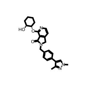 Cc1nn(C)cc1-c1ccc(CN2Cc3ccnc(O[C@H]4CCCC[C@@H]4O)c3C2=O)cc1